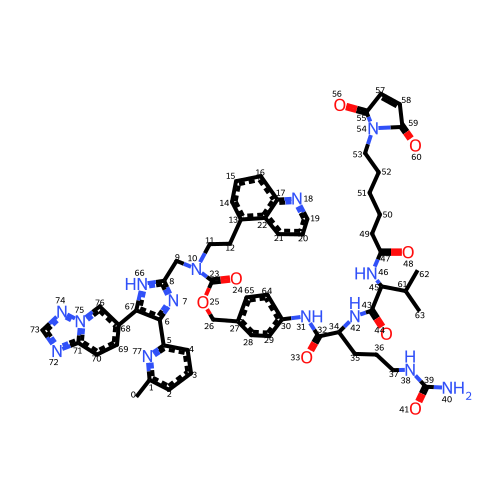 Cc1cccc(-c2nc(CN(CCc3cccc4ncccc34)C(=O)OCc3ccc(NC(=O)C(CCCNC(N)=O)NC(=O)C(NC(=O)CCCCCN4C(=O)C=CC4=O)C(C)C)cc3)[nH]c2-c2ccc3ncnn3c2)n1